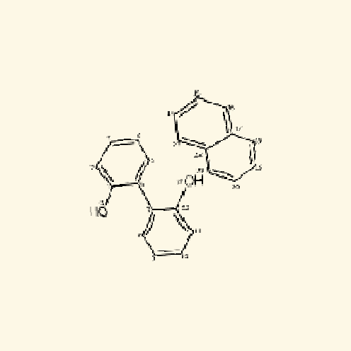 Oc1ccccc1-c1ccccc1O.c1ccc2ccccc2c1